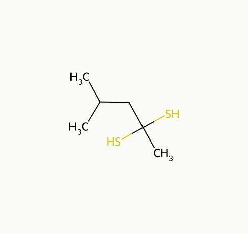 CC(C)CC(C)(S)S